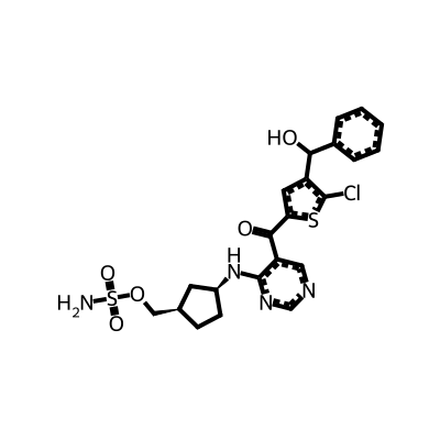 NS(=O)(=O)OC[C@@H]1CC[C@H](Nc2ncncc2C(=O)c2cc(C(O)c3ccccc3)c(Cl)s2)C1